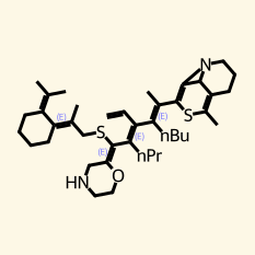 C=CC(/C(CCCC)=C(\C)C1=C2C3C(=C(C)S1)CCCN23)=C(CCC)\C(SC/C(C)=C1\CCCCC1=C(C)C)=C1\CNCCO1